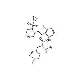 CC(C)N[C@@H](Cc1ccc(F)cc1)C(=O)Nc1cncc(F)c1CC[C@H]1CNCCN1S(=O)(=O)C1CC1